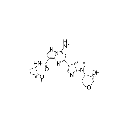 CNc1cc(-c2cnc3n(C4CCOC[C@@H]4O)cccc2-3)nc2c(C(=O)NC3CC[C@H]3OC)cnn12